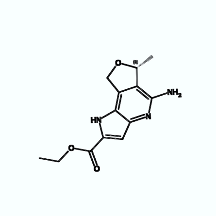 CCOC(=O)c1cc2nc(N)c3c(c2[nH]1)CO[C@@H]3C